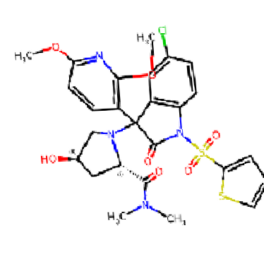 COc1ccc(C2(N3C[C@H](O)C[C@H]3C(=O)N(C)C)C(=O)N(S(=O)(=O)c3cccs3)c3ccc(Cl)cc32)c(OC)n1